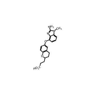 Cn1c(N)nc2c(Oc3ccc4c(c3)CCC(CCC(=O)O)O4)cccc21